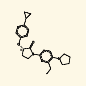 CCc1cc(N2CC[C@H](Oc3ccc(C4CC4)cc3)C2=O)ccc1N1CCCC1